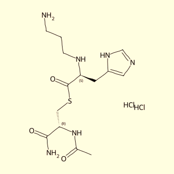 CC(=O)N[C@@H](CSC(=O)[C@H](Cc1cnc[nH]1)NCCCN)C(N)=O.Cl.Cl